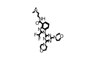 CN(C)CCNC(=O)c1cccc2c1nc(C(F)F)n2-c1nc(N2CCOCC2)nc(N2CCOCC2)n1